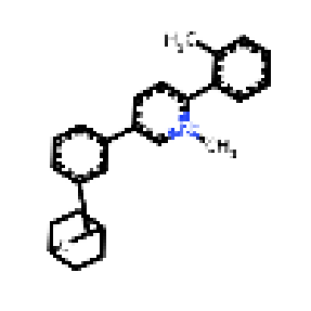 Cc1ccccc1-c1ccc(-c2cccc(C3CC4CCC3CC4)c2)c[n+]1C